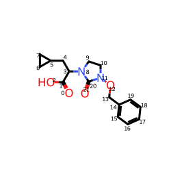 O=C(O)C(CC1CC1)N1CCN(OCc2ccccc2)C1=O